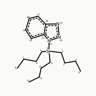 CCCC[Si](CCCC)(CCCC)n1nnc2ccccc21